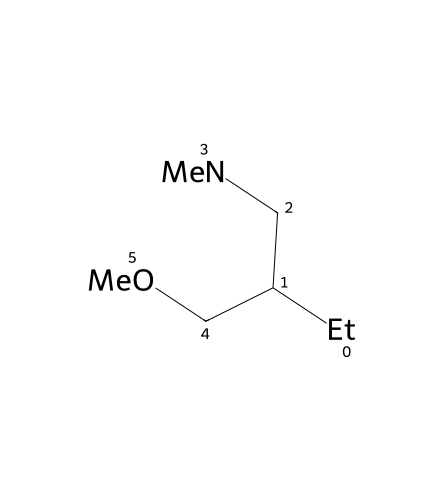 CCC(CNC)COC